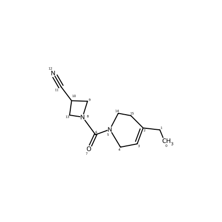 CCC1=CCN(C(=O)N2CC(C#N)C2)CC1